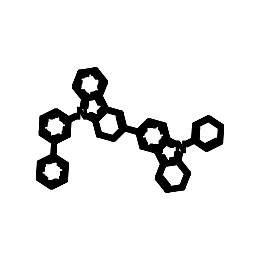 C1=CC(n2c3c(c4cc(C5=Cc6c(n(-c7cccc(-c8ccccc8)c7)c7ccccc67)CC5)ccc42)C=CCC3)=CCC1